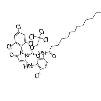 CCCCCCCCCCCCCC(=O)Nc1ccc(Cl)c(Nc2cc(=O)n(-c3c(Cl)cc(Cl)cc3Cl)n2C(=O)OCC(Cl)(Cl)Cl)c1